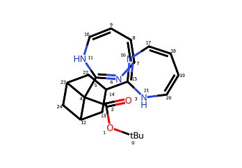 CC(C)(C)OC(=O)C1(C2=NC=CC=CN2)C2CC(C3=NC=CC=CN3)CC1C2